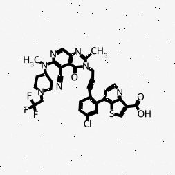 Cc1nc2cnc(N(C)C3CCN(CC(F)(F)F)CC3)c(C#N)c2c(=O)n1CC#Cc1ccc(Cl)cc1-c1ccnc2c(C(=O)O)csc12